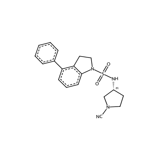 N#CN1CC[C@@H](NS(=O)(=O)N2CCc3c(-c4ccccc4)cccc32)C1